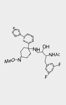 CON=C1CCC(NCC(O)C(Cc2cc(F)cc(F)c2)NC(C)=O)(c2cccc(-c3ccsc3)c2)CC1